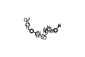 CCC(=O)N1CCN(Cc2ccc(-c3cnc(N4CCO[C@H](Cn5nnc6c5NC(c5cccc(C#N)c5)C=N6)C4)nc3)cc2)CC1